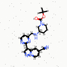 CC(C)(C)OC(=O)N1CCC[C@@H](NCc2ccnc(-c3cnn4ccc(C#N)cc34)n2)C1